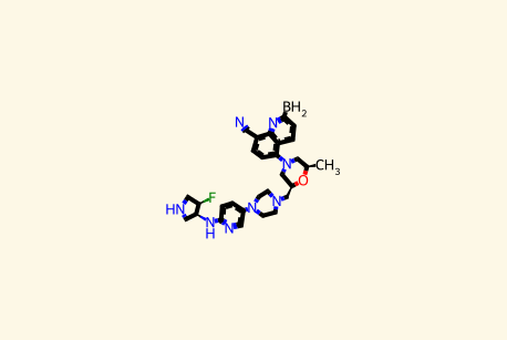 Bc1ccc2c(N3C[C@H](CN4CCN(c5ccc(N[C@H]6CNC[C@H]6F)nc5)CC4)O[C@H](C)C3)ccc(C#N)c2n1